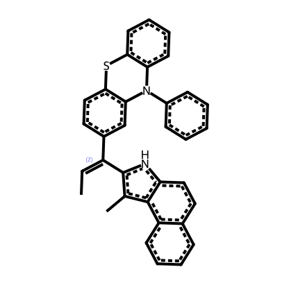 C/C=C(/c1ccc2c(c1)N(c1ccccc1)c1ccccc1S2)c1[nH]c2ccc3ccccc3c2c1C